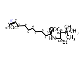 CCCCCCCC/C=C\CCCCCCCC(=O)NC(CC)C(C(=O)[O-])[N+](C)(C)C